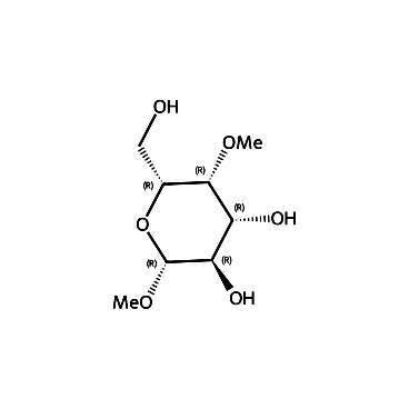 CO[C@@H]1O[C@H](CO)[C@H](OC)[C@H](O)[C@H]1O